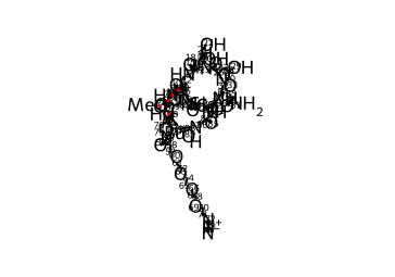 CC[C@H](C)[C@@H]1CCNC(=O)CNC(=O)[C@@H]2CNC(=O)[C@H]([C@@H](C)[C@@H](O)CO)NC(=O)C3C[C@@H](O)CN3C(=O)[C@H](CC(N)=O)NC(=O)[C@@H](C[S+]([O-])c3[nH]c4c(CSC5CCN(C(=O)CCOCCOCCOCCOCCN=[N+]=[N-])CC5)c(OC)ccc4c32)NC(=O)CNC1=O